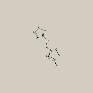 C[C@@H]1CC[C@H](CCc2ccsc2)N1